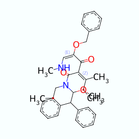 CCCN(C(=O)/C(C(=O)/C(=C\NC)OCc1ccccc1)=C(/C)CC)C(OC)C(c1ccccc1)c1ccccc1